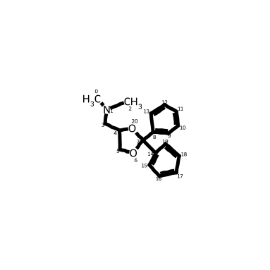 CN(C)CC1COC(c2ccccc2)(c2ccccc2)O1